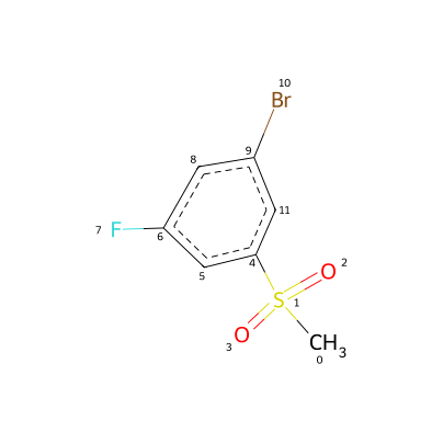 CS(=O)(=O)c1cc(F)cc(Br)c1